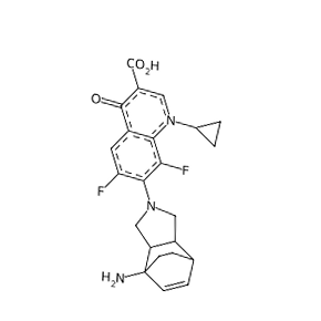 NC12C=CC(CC1)C1CN(c3c(F)cc4c(=O)c(C(=O)O)cn(C5CC5)c4c3F)CC12